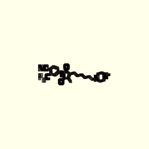 CC1=C(CCCCCCN2CCN(C)CC2)C(=O)N(c2ccc(C#N)c(C(F)(F)F)c2)C1=O